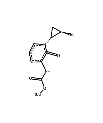 CC[C@@H]1C[C@H]1n1cccc(NC(=O)OC(C)(C)C)c1=O